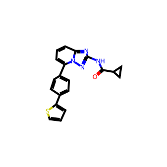 O=C(Nc1nc2cccc(-c3ccc(-c4cccs4)cc3)n2n1)C1CC1